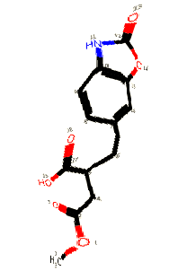 COC(=O)CC(Cc1ccc2[nH]c(=O)oc2c1)C(=O)O